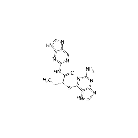 CC[C@@H](Sc1nc(N)nc2nc[nH]c12)C(=O)Nc1ncc2nc[nH]c2n1